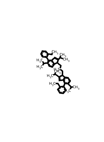 CCc1ccccc1-c1c(C(C)C)ccc2c1C=C(C(C)C)C2C[SiH2]CC1C(C(C)C)=Cc2c1ccc(C(C)C)c2-c1ccccc1CC